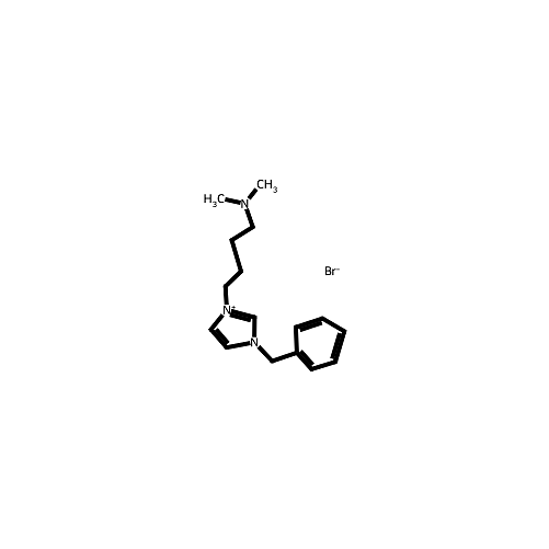 CN(C)CCCC[n+]1ccn(Cc2ccccc2)c1.[Br-]